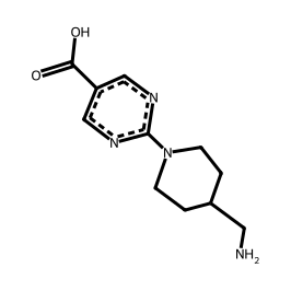 NCC1CCN(c2ncc(C(=O)O)cn2)CC1